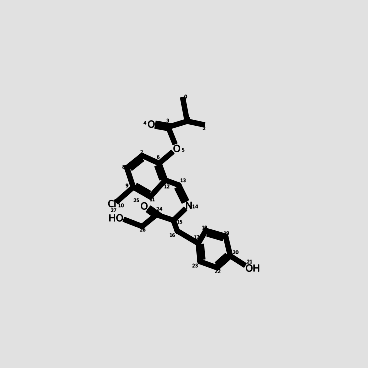 CC(C)C(=O)Oc1ccc(Cl)cc1/C=N\C(Cc1ccc(O)cc1)C(=O)CO